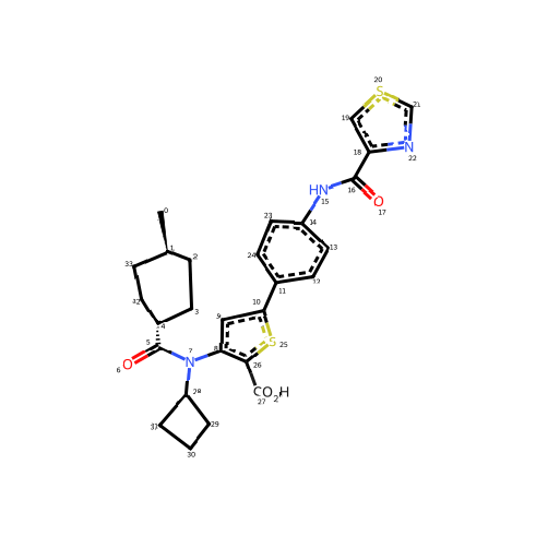 C[C@H]1CC[C@H](C(=O)N(c2cc(-c3ccc(NC(=O)c4cscn4)cc3)sc2C(=O)O)C2CCC2)CC1